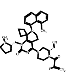 C=C(F)C(=O)N1CCN(c2nc(=O)n(C[C@@H]3CCCN3C)c3c2CCN(c2cccc4cccc(C)c24)C32CCC2)C[C@@H]1CC#N